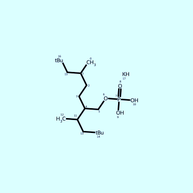 CC(CCC(COP(=O)(O)O)C(C)CC(C)(C)C)CC(C)(C)C.[KH]